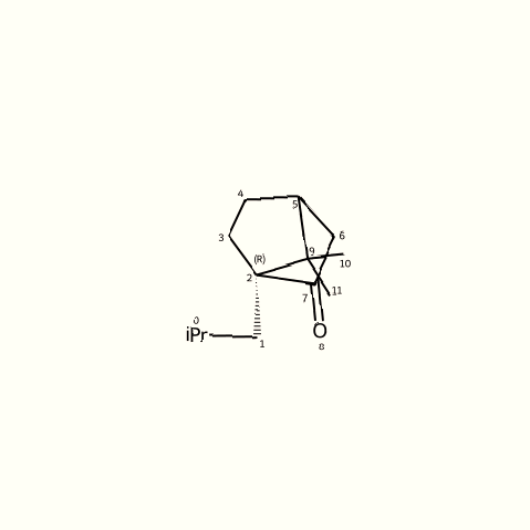 CC(C)C[C@@]12CCC(CC1=O)C2(C)C